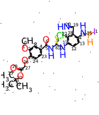 COc1cc(C(=O)NC(=S)Nc2ccc(NPI)c(C=N)c2Cl)ccc1OCC(=O)OC(C)(C)C